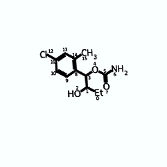 CCC(O)C(OC(N)=O)c1ccc(Cl)cc1C